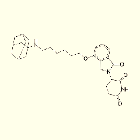 O=C1CCC(N2Cc3c(OCCCCCCNC45CC6CC(CC(C6)C4)C5)cccc3C2=O)C(=O)N1